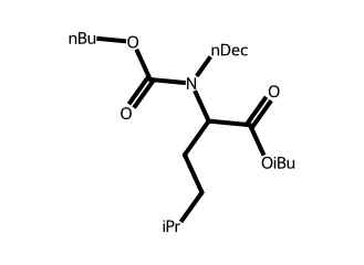 CCCCCCCCCCN(C(=O)OCCCC)C(CCC(C)C)C(=O)OCC(C)C